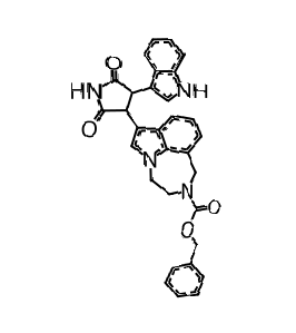 O=C1NC(=O)C(c2cn3c4c(cccc24)CN(C(=O)OCc2ccccc2)CC3)C1c1c[nH]c2ccccc12